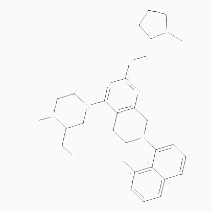 CN1CCC[C@H]1COc1nc2c(c(N3CCN(C(=O)O)C(CC#N)C3)n1)CCN(c1cccc3cccc(Cl)c13)C2